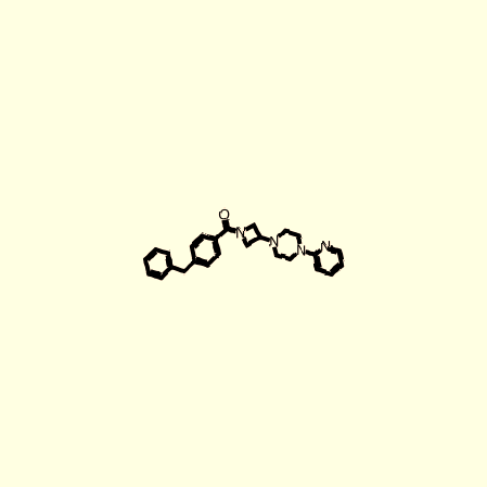 O=C(c1ccc(Cc2ccccc2)cc1)N1CC(N2CCN(c3ccccn3)CC2)C1